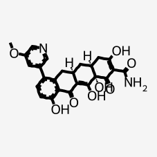 COc1cncc(-c2ccc(O)c3c2C[C@H]2C[C@H]4CC(O)=C(C(N)=O)C(=O)[C@@]4(O)C(O)=C2C3=O)c1